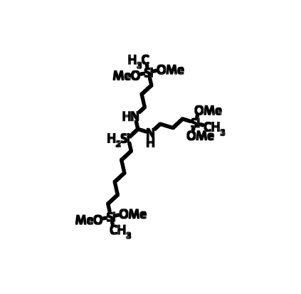 CO[Si](C)(CCCCCC[SiH2]C(NCCC[Si](C)(OC)OC)NCCC[Si](C)(OC)OC)OC